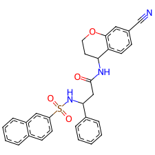 N#Cc1ccc2c(c1)OCCC2NC(=O)CC(NS(=O)(=O)c1ccc2ccccc2c1)c1ccccc1